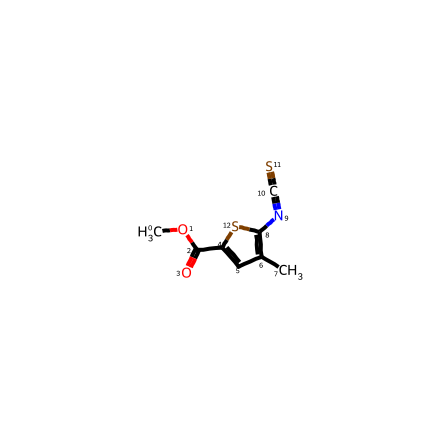 COC(=O)c1cc(C)c(N=C=S)s1